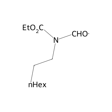 CCCCCCCCN([C]=O)C(=O)OCC